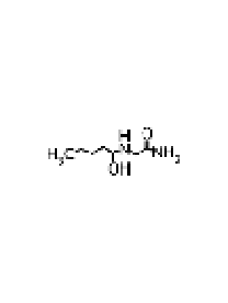 CCCCC(O)NCC(N)=O